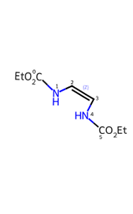 CCOC(=O)N/C=C\NC(=O)OCC